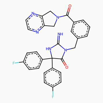 N=C1NC(c2ccc(F)cc2)(c2ccc(F)cc2)C(=O)N1Cc1cccc(C(=O)N2Cc3nccnc3C2)c1